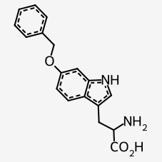 NC(Cc1c[nH]c2cc(OCc3ccccc3)ccc12)C(=O)O